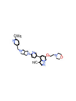 COc1ccc(CN2CC3CN(c4ccc(-c5cc(OCCN6CCOCC6)cn6ncc(C#N)c56)cn4)CC3C2)cn1